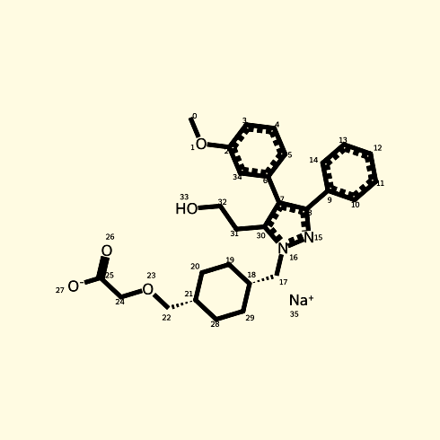 COc1cccc(-c2c(-c3ccccc3)nn(C[C@H]3CC[C@@H](COCC(=O)[O-])CC3)c2CCO)c1.[Na+]